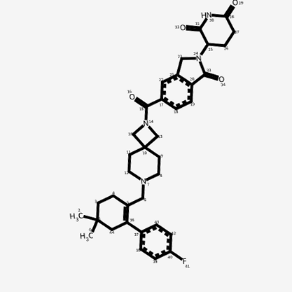 CC1(C)CCC(CN2CCC3(CC2)CN(C(=O)c2ccc4c(c2)CN(C2CCC(=O)NC2=O)C4=O)C3)=C(c2ccc(F)cc2)C1